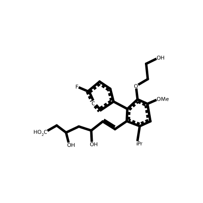 COc1cc(C(C)C)c(C=CC(O)CC(O)CC(=O)O)c(-c2ccc(F)cc2)c1OCCO